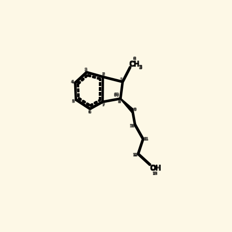 CC1c2ccccc2[C@@H]1CCCCO